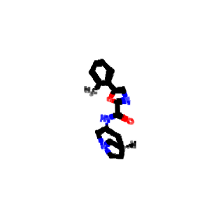 Cc1ccccc1-c1cnc(C(=O)N[C@@H]2C[C@H]3CCN(C3)C2)o1